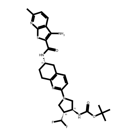 Cc1ccc2c(N)c(C(=O)N[C@H]3CCc4nc(N5C[C@@H](NC(=O)OC(C)(C)C)[C@H](C(F)F)C5)ccc4C3)sc2n1